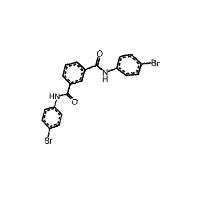 O=C(Nc1ccc(Br)cc1)c1cccc(C(=O)Nc2ccc(Br)cc2)c1